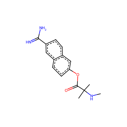 CNC(C)(C)C(=O)Oc1ccc2cc(C(=N)N)ccc2c1